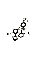 Cc1ccc(C=O)c(-c2ncccn2)c1N1CCCC(C)C1CNc1ccc(C(F)(F)F)cn1